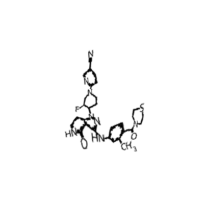 Cc1cc(Nc2nn(C3CCN(c4ccc(C#N)cn4)C[C@@H]3F)c3cc[nH]c(=O)c23)ccc1C(=O)N1CCSCC1